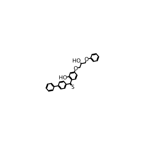 Oc1cc(OCC(O)COc2ccccc2)ccc1C(=S)c1ccc(-c2ccccc2)cc1